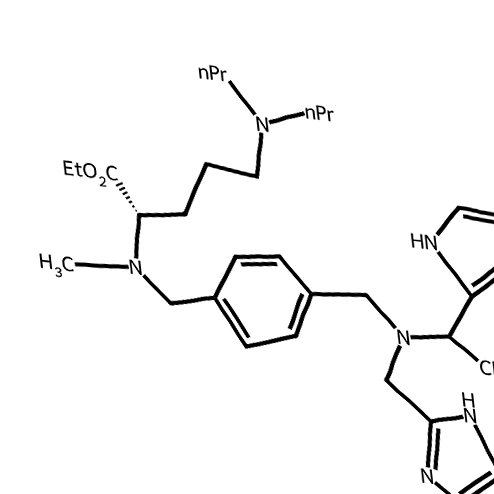 CCCN(CCC)CCC[C@@H](C(=O)OCC)N(C)Cc1ccc(CN(Cc2ncc[nH]2)C(C)c2ncc[nH]2)cc1